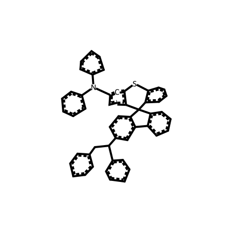 c1ccc(CC(c2ccccc2)c2ccc3c(c2)-c2ccccc2C32c3ccccc3Sc3cc(N(c4ccccc4)c4ccccc4)ccc32)cc1